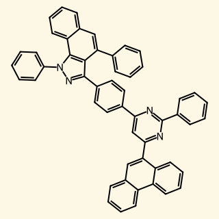 c1ccc(-c2nc(-c3ccc(-c4nn(-c5ccccc5)c5c4c(-c4ccccc4)cc4ccccc45)cc3)cc(-c3cc4ccccc4c4ccccc34)n2)cc1